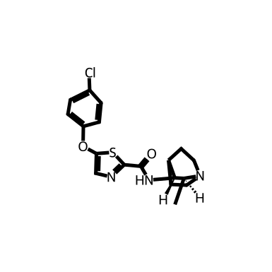 C[C@H]1[C@H](NC(=O)c2ncc(Oc3ccc(Cl)cc3)s2)C2CCN1CC2